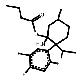 CCCC(=O)OC1(N)CC(C)CCC1(c1cc(F)c(F)cc1F)C(C)C